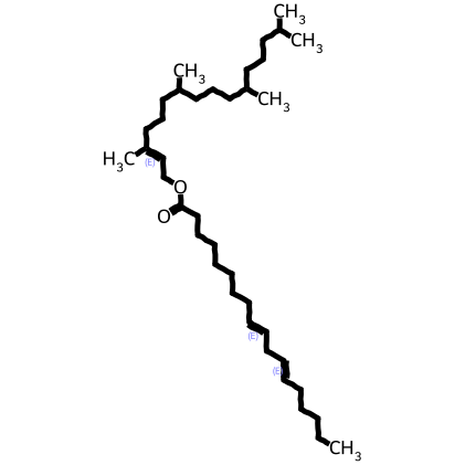 CCCCC/C=C/C/C=C/CCCCCCCC(=O)OC/C=C(\C)CCCC(C)CCCC(C)CCCC(C)C